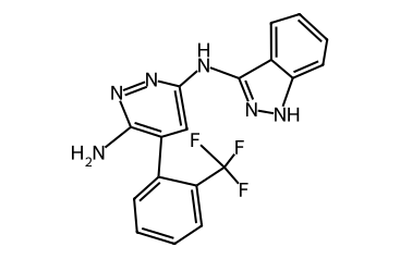 Nc1nnc(Nc2n[nH]c3ccccc23)cc1-c1ccccc1C(F)(F)F